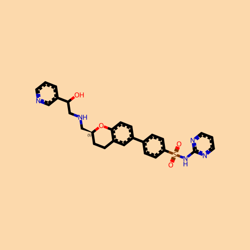 O=S(=O)(Nc1ncccn1)c1ccc(-c2ccc3c(c2)CC[C@@H](CNCC(O)c2cccnc2)O3)cc1